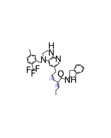 CC/C=C(\C=C/Cc1cnc2c(c1)N(Cc1cc(C)ccc1C(F)(F)F)CCN2)C(=O)NC1Cc2ccccc2C1